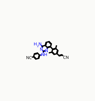 Cc1cc(/C=C/C#N)cc(C)c1-c1cccc2c(N)nc(Nc3ccc(C#N)cc3)nc12